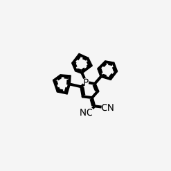 N#CC(C#N)=C1C=C(c2ccccc2)P(c2ccccc2)C(c2ccccc2)=C1